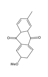 COC1C=C2C(=O)C3C=CC(C)=CC3C(=O)C2=CC1